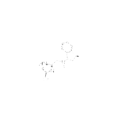 CN(Cc1nc(C(F)(F)F)c[nH]1)C1CC(=O)c2ccccc21